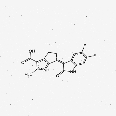 Cc1[nH]c2c(c1C(=O)O)CC/C2=C1/C(=O)Nc2cc(F)c(F)cc21